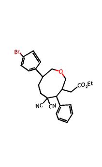 CCOC(=O)CC1COCC(c2ccc(Br)cc2)CCC(C#N)(C#N)C1c1ccccc1